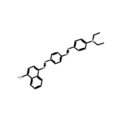 CCN(CC)c1ccc(/N=N/c2ccc(/N=N/c3ccc(N)c4ccccc34)cc2)cc1